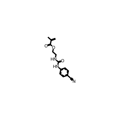 C=C(C)C(=O)OCCNC(=O)Nc1ccc(C#N)cc1